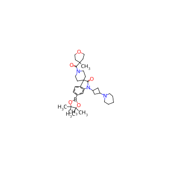 CC1(C(=O)N2CCC3(CC2)C(=O)N(C2CC(N4CCCCC4)C2)c2cc(B4OC(C)(C)C(C)(C)O4)ccc23)CCOCC1